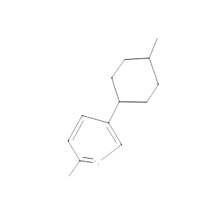 CC1CCC(c2ccc(F)nc2)CC1